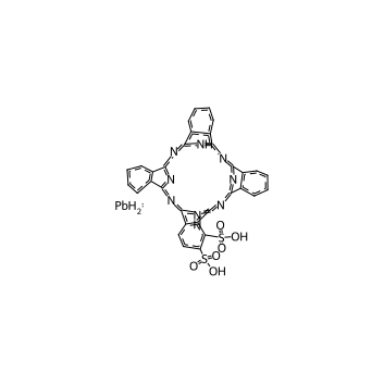 O=S(=O)(O)c1ccc2c3nc4nc(nc5[nH]c(nc6nc(nc([nH]3)c2c1S(=O)(=O)O)-c1ccccc1-6)c1ccccc51)-c1ccccc1-4.[PbH2]